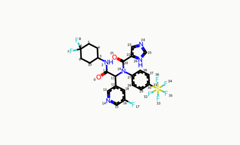 O=C(NC1CCC(F)(F)CC1)C(c1cncc(F)c1)N(C(=O)c1cnc[nH]1)c1ccc(S(F)(F)(F)(F)F)cc1